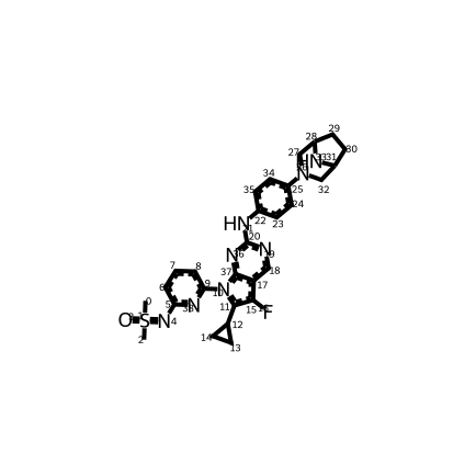 CS(C)(=O)=Nc1cccc(-n2c(C3CC3)c(F)c3cnc(Nc4ccc(N5CC6CCC(C5)N6)cc4)nc32)n1